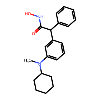 CN(c1cccc(C(C(=O)NO)c2ccccc2)c1)C1CCCCC1